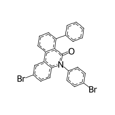 O=c1c2c(-c3ccccc3)cccc2c2cc(Br)ccc2n1-c1ccc(Br)cc1